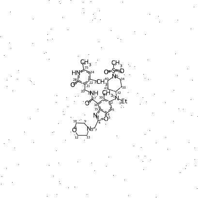 CCN(c1cc2oc(CN3CCOCC3)nc2c(C(=O)NCc2c(C)cc(C)[nH]c2=O)c1C)C1CCN(S(C)(=O)=O)CC1